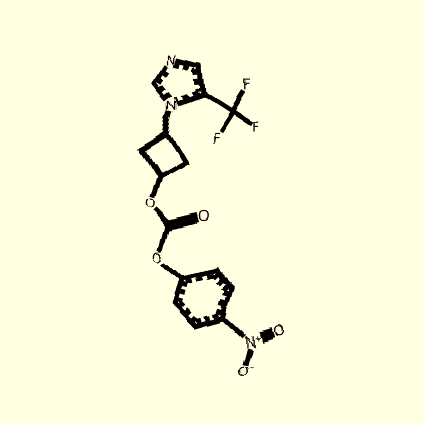 O=C(Oc1ccc([N+](=O)[O-])cc1)OC1CC(n2cncc2C(F)(F)F)C1